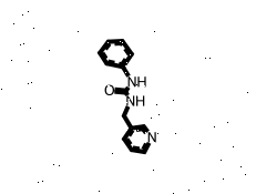 O=C(NCc1cccnc1)Nc1ccccc1